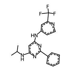 CC(C)Nc1cc(Nc2ccnc(C(F)(F)F)c2)nc(-c2ccccc2)n1